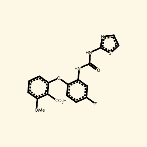 COc1cccc(Oc2ccc(F)cc2NC(=O)Nc2nccs2)c1C(=O)O